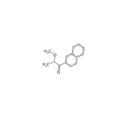 COC(C)C(=O)c1ccc2ccccc2c1